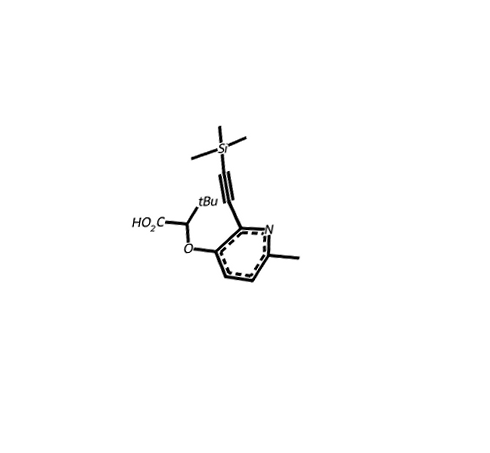 Cc1ccc(OC(C(=O)O)C(C)(C)C)c(C#C[Si](C)(C)C)n1